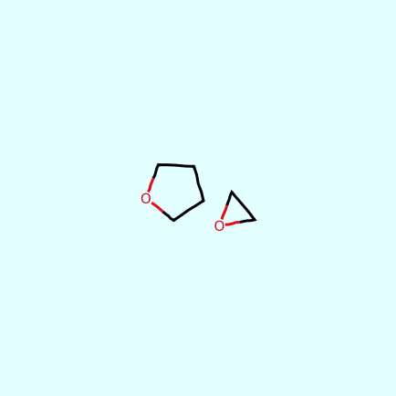 C1CCOC1.C1CO1